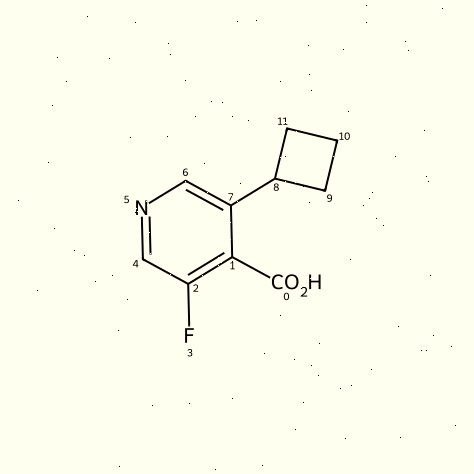 O=C(O)c1c(F)cncc1C1CCC1